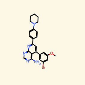 COc1cc(Br)cc(-c2cc(-c3ccc(N4CCCCC4)cc3)nc3ncnc(N)c23)c1